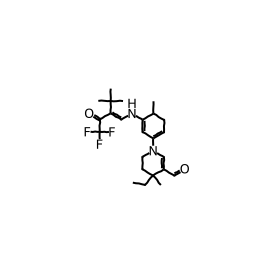 CCC1(C)CCN(C2=CCC(C)C(N/C=C(/C(=O)C(F)(F)F)C(C)(C)C)=C2)C=C1C=O